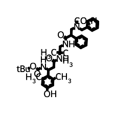 Cc1cc(O)cc(C)c1C(CC(=O)NC(C)(C)CNC(=O)C(CN(Cc1ccccc1)C(=O)O)c1ccccc1)NC(=O)OC(C)(C)C